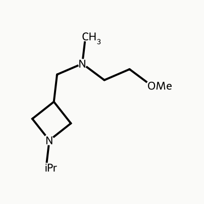 COCCN(C)CC1CN(C(C)C)C1